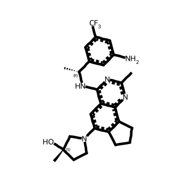 Cc1nc(N[C@H](C)c2cc(N)cc(C(F)(F)F)c2)c2cc(N3CC[C@](C)(O)C3)c3c(c2n1)CCC3